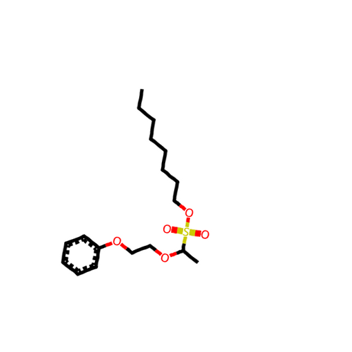 CCCCCCCCOS(=O)(=O)C(C)OCCOc1ccccc1